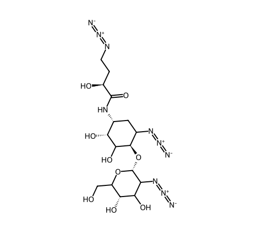 [N-]=[N+]=NCC[C@H](O)C(=O)N[C@@H]1CC(N=[N+]=[N-])[C@@H](O[C@H]2OC(CO)[C@@H](O)C(O)C2N=[N+]=[N-])C(O)[C@@H]1O